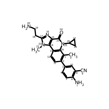 Cc1c(-c2ccc(N)c(C#N)c2)ccc2c3c(nc(CCN)n3C)c(=O)n(C3CC3)c12